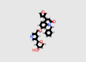 O=c1cc(-c2ccoc2)c2ccc(OCc3cncc(C4CC(O)CCO4)c3)cc2n1Cc1ccccc1